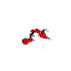 CC/N=c1/cc2oc3cc(NCC)c(C)cc3c(-c3cc(C(=O)NCCNC(=O)c4cccc(OCC(N=[N+]=[N-])OCCOCC(=O)NCC#Cc5cn([C@H]6CC(O[C@H](F)N=[N+]=[N-])[C@@H](COP(=O)(O)OP(=O)(O)OP(=O)(O)O)O6)c(=O)[nH]c5=O)c4)ccc3C(=O)O)c-2cc1C